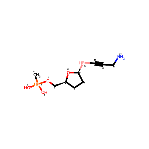 C[PH](O)(O)OC[C@@H]1CC[C@H](BC#CCN)O1